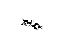 Cn1nc(C(=O)Nc2cnc(Cl)nc2)cc1F